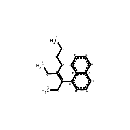 CCCCC(CC)=C(CC)c1cccc2ccccc12